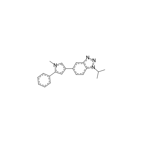 CC(C)n1nnc2cc(-c3cc(-c4ccccc4)n(C)c3)ccc21